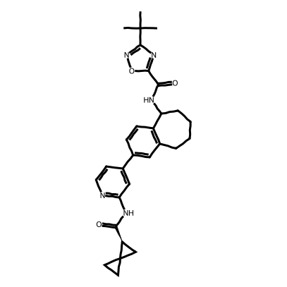 CC(C)(C)c1noc(C(=O)NC2CCCCc3cc(-c4ccnc(NC(=O)[C@H]5CC56CC6)c4)ccc32)n1